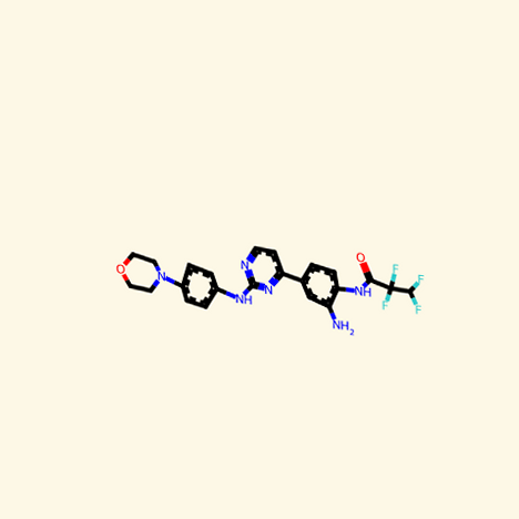 Nc1cc(-c2ccnc(Nc3ccc(N4CCOCC4)cc3)n2)ccc1NC(=O)C(F)(F)C(F)F